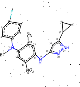 CCN(c1ccc(F)cc1)c1cc([N+](=O)[O-])c(Nc2cc(C3CC3)[nH]n2)cc1C#N